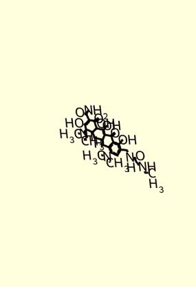 CCNCC(=O)NCc1cc(N(C)C)c2c(c1O)C(=O)C1=C(O)[C@]3(O)C(=O)C(C(N)=O)=C(O)C(N(C)C)[C@H]3C[C@@H]1C2